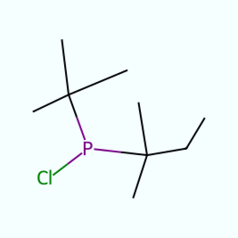 CCC(C)(C)P(Cl)C(C)(C)C